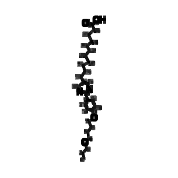 CCCOCCCCOc1ccc(-c2ncc(CCCCCCCCCCC(=O)O)cn2)cc1